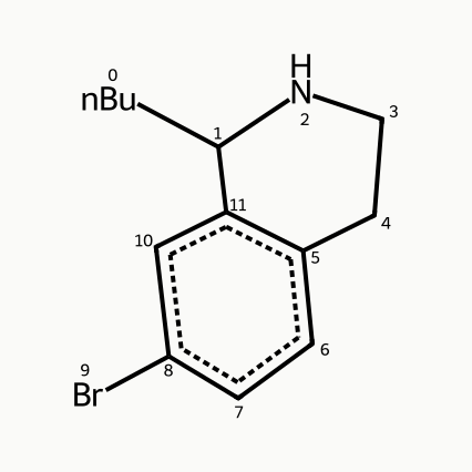 CCCCC1NCCc2ccc(Br)cc21